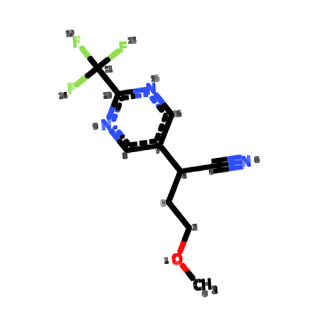 COCCC(C#N)c1cnc(C(F)(F)F)nc1